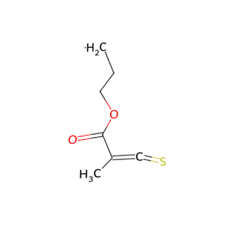 [CH2]CCOC(=O)C(C)=C=S